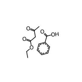 CCOC(=O)CC(C)=O.O=C(O)c1ccccc1